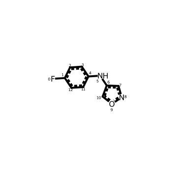 Fc1ccc(Nc2cnoc2)cc1